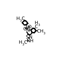 CNc1nc2c(s1)CN(S(=O)(=O)c1ccc(C)cc1)c1cc(C)c(C)cc1-2